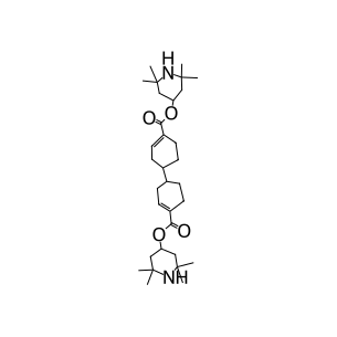 CC1(C)CC(OC(=O)C2=CCC(C3CC=C(C(=O)OC4CC(C)(C)NC(C)(C)C4)CC3)CC2)CC(C)(C)N1